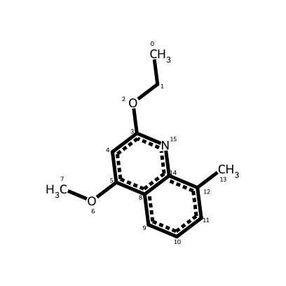 CCOc1cc(OC)c2cccc(C)c2n1